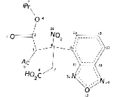 CC(=O)C(C(=O)OC(C)C)C(CC(=O)O)(c1cccc2nonc12)[N+](=O)[O-]